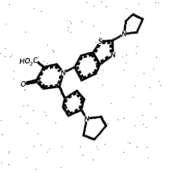 O=C(O)c1cn(-c2ccc3nc(N4CCCC4)sc3c2)c(-c2ccc(N3CCCC3)cc2)cc1=O